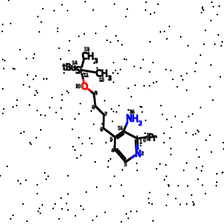 CC(C)c1nccc(CCCCO[Si](C)(C)C(C)(C)C)c1N